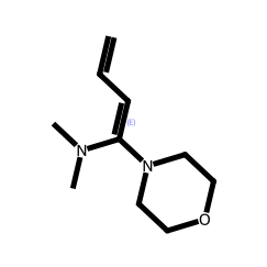 C=C/C=C(\N(C)C)N1CCOCC1